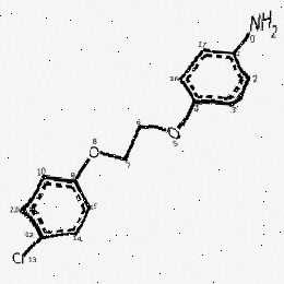 Nc1ccc(OCCOc2ccc(Cl)cc2)cc1